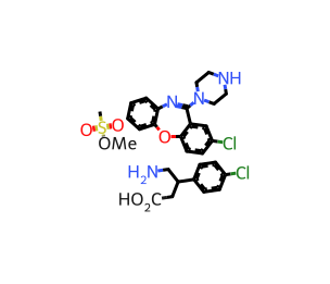 COS(C)(=O)=O.Clc1ccc2c(c1)C(N1CCNCC1)=Nc1ccccc1O2.NCC(CC(=O)O)c1ccc(Cl)cc1